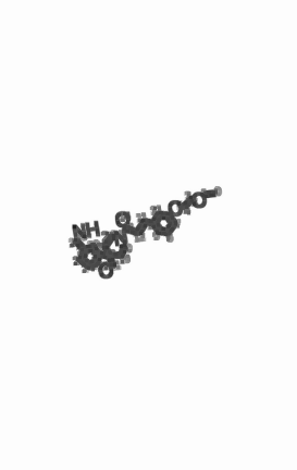 CCOCCOc1cccc(C=CC(=O)N2CCC3(CC2)COc2ccc(CN)cc23)c1